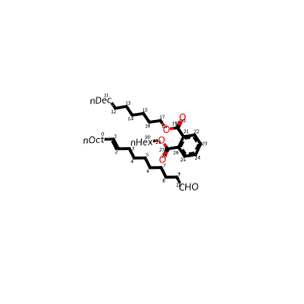 CCCCCCCCC=CCCCCCCCC=O.CCCCCCCCCCCCCCCCOC(=O)c1ccccc1C(=O)OCCCCCC